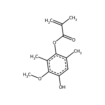 C=C(C)C(=O)Oc1c(C)cc(O)c(OC)c1C